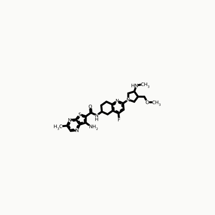 CNC1CN(c2cc(F)c3c(n2)CCC(NC(=O)c2sc4nc(C)cnc4c2N)C3)CC1COC